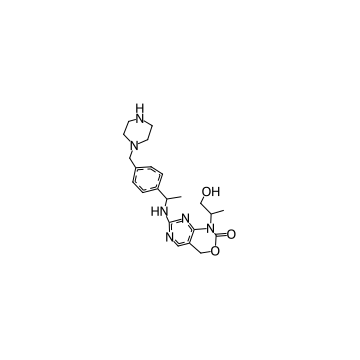 CC(Nc1ncc2c(n1)N(C(C)CO)C(=O)OC2)c1ccc(CN2CCNCC2)cc1